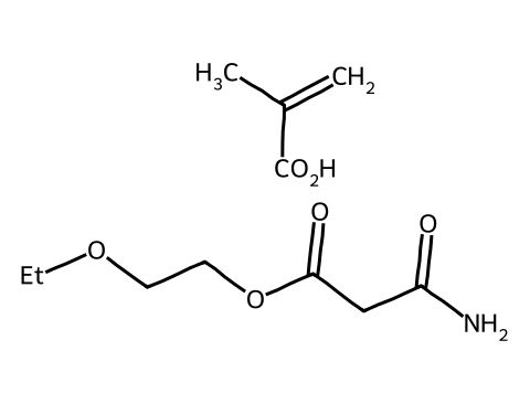 C=C(C)C(=O)O.CCOCCOC(=O)CC(N)=O